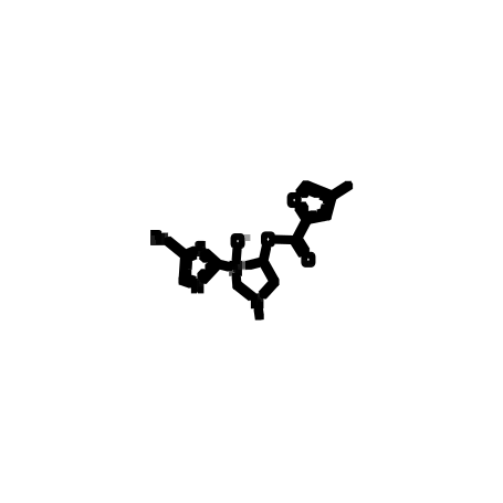 Cc1coc(C(=O)OC2CN(C)C[N+]2([O-])c2ncc(Br)s2)c1